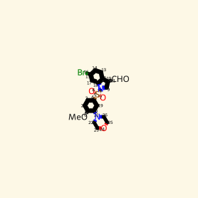 COc1ccc(S(=O)(=O)n2cc(C=O)c3ccc(Br)cc32)cc1N1CCOCC1